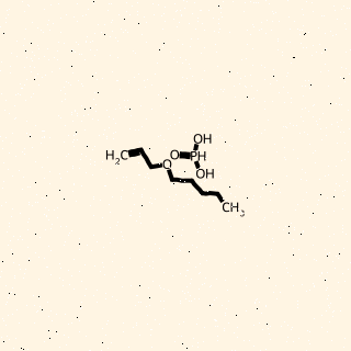 C=CCOCCCCC.O=[PH](O)O